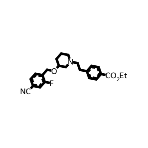 CCOC(=O)c1ccc(CCN2CCCC(OCc3ccc(C#N)cc3F)C2)cc1